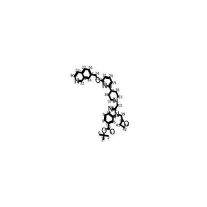 CC(C)(C)OC(=O)c1ccc2nc(CN3CCC(c4cccc(OCc5ccc6ccncc6c5)n4)CC3)n(CC3CCO3)c2c1